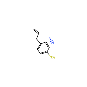 C=CCc1ccc(S)cc1.N#N